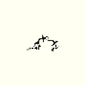 CCCOC(C)(C)CCOC(C)(C)Cc1cn(C(C)C)nn1